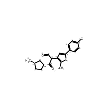 Cc1sc(-c2ccc(Cl)cc2)cc1C(C=O)C(=O)[C@@H]1CC[C@@H](C)C1